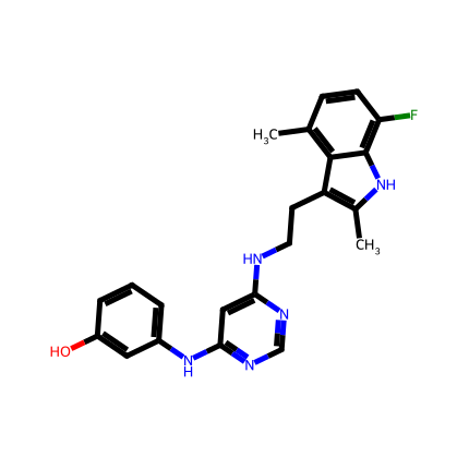 Cc1[nH]c2c(F)ccc(C)c2c1CCNc1cc(Nc2cccc(O)c2)ncn1